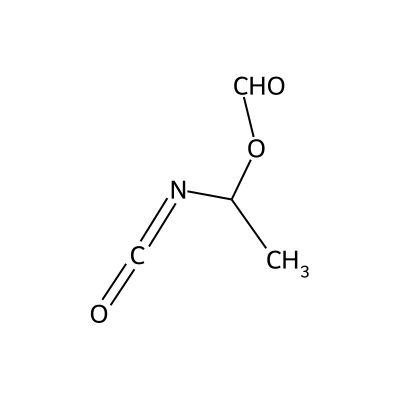 CC(N=C=O)OC=O